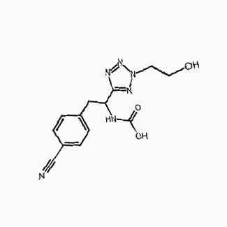 N#Cc1ccc(CC(NC(=O)O)c2nnn(CCO)n2)cc1